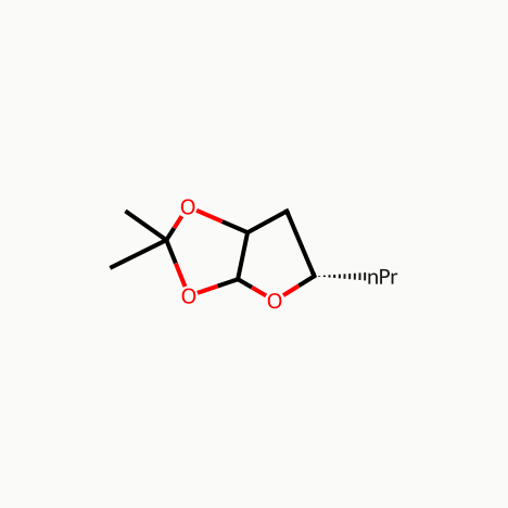 CCC[C@H]1CC2OC(C)(C)OC2O1